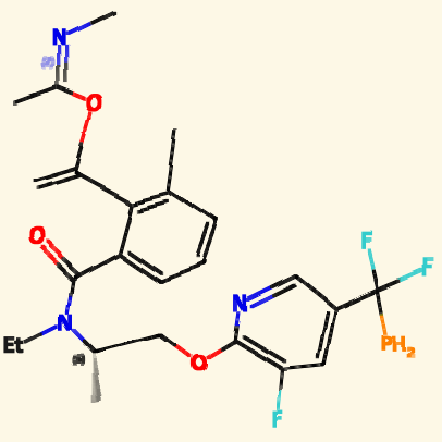 C=C(O/C(C)=N\C)c1c(C)cccc1C(=O)N(CC)[C@@H](C)COc1ncc(C(F)(F)P)cc1F